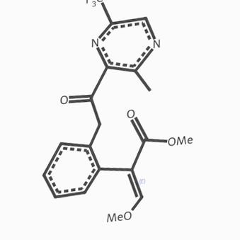 CO/C=C(/C(=O)OC)c1ccccc1CC(=O)c1nc(C(F)(F)F)cnc1C